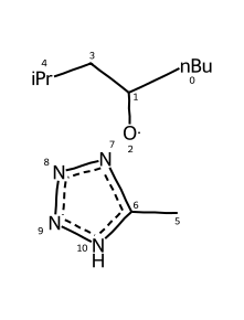 CCCCC([O])CC(C)C.Cc1nnn[nH]1